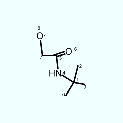 CC(C)(C)NC(=O)C[O]